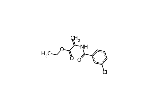 C=C(NC(=O)c1cccc(Cl)c1)C(=O)OCC